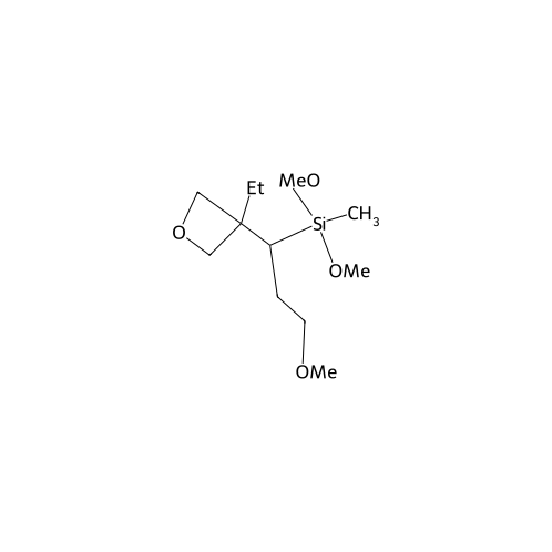 CCC1(C(CCOC)[Si](C)(OC)OC)COC1